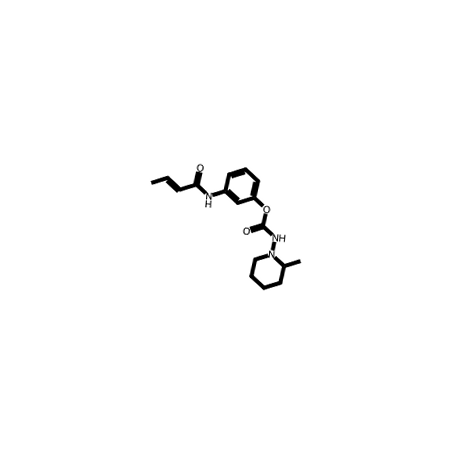 CC=CC(=O)Nc1cccc(OC(=O)NN2CCCCC2C)c1